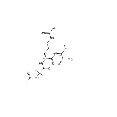 CC(=O)NC(C)(C)C(=O)N[C@@H](CCCNC(=N)N)C(=O)N[C@H](C(N)=O)C(C)C